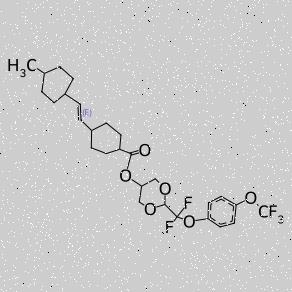 CC1CCC(/C=C/C2CCC(C(=O)OC3COC(C(F)(F)Oc4ccc(OC(F)(F)F)cc4)OC3)CC2)CC1